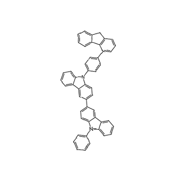 c1ccc(-n2c3ccccc3c3cc(-c4ccc5c(c4)c4ccccc4n5-c4ccc(-c5cccc6c5-c5ccccc5C6)cc4)ccc32)cc1